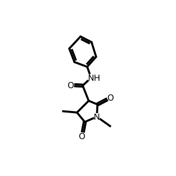 CC1C(=O)N(C)C(=O)C1C(=O)Nc1ccccc1